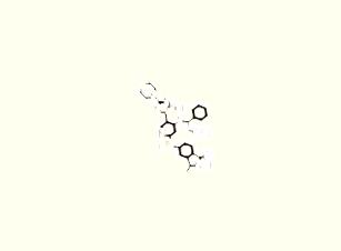 CC1NC(=O)c2ccc(Nc3cc(N[C@H](CO)c4ccccc4)c(-c4nc(N5CCOCC5)no4)cn3)cc21